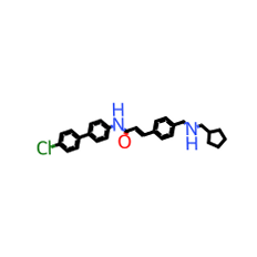 O=C(/C=C/c1ccc(CNCC2CCCC2)cc1)Nc1ccc(-c2ccc(Cl)cc2)cc1